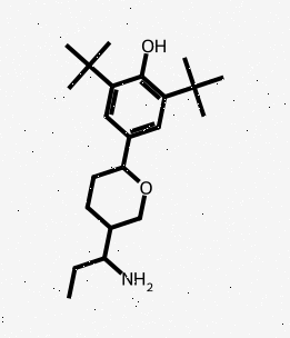 CCC(N)C1CCC(c2cc(C(C)(C)C)c(O)c(C(C)(C)C)c2)OC1